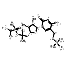 CCC(C)(C[C@H]1O[C@@H](n2cc(CO[Si](C)(C)C(C)(C)C)c(N)nc2=O)[C@H](O)[C@@H]1O)OP(=O)(O)C(C)O